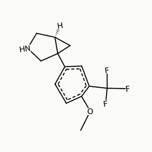 COc1ccc(C23CNC[C@H]2C3)cc1C(F)(F)F